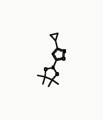 CC1(C)OB(c2cc(C3CC3)no2)OC1(C)C